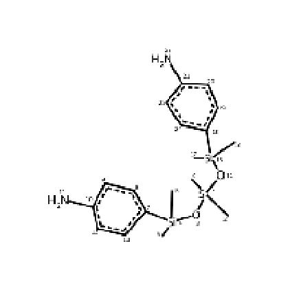 C[Si](C)(O[Si](C)(C)c1ccc(N)cc1)O[Si](C)(C)c1ccc(N)cc1